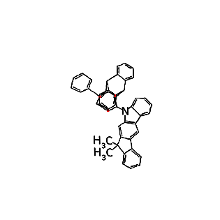 CC1(C)c2ccccc2-c2cc3c4ccccc4n(-c4ccc(-c5ccccc5)c5c4C4c6ccccc6C5c5ccccc54)c3cc21